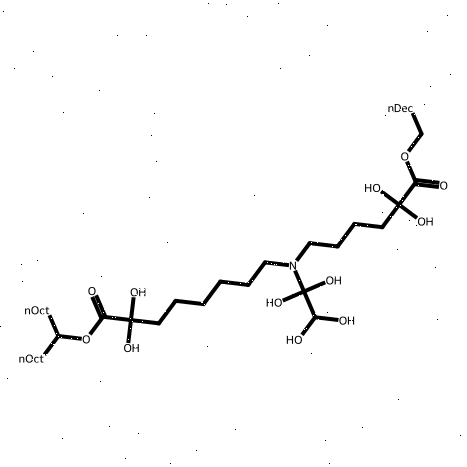 CCCCCCCCCCCOC(=O)C(O)(O)CCCCN(CCCCCCC(O)(O)C(=O)OC(CCCCCCCC)CCCCCCCC)C(O)(O)C(O)O